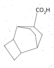 O=C(O)C1CC2CCC1C1CCC21